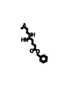 CN(C)CCNC(=N)CCCC(=O)OCc1ccccc1